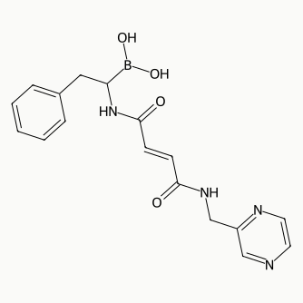 O=C(C=CC(=O)NC(Cc1ccccc1)B(O)O)NCc1cnccn1